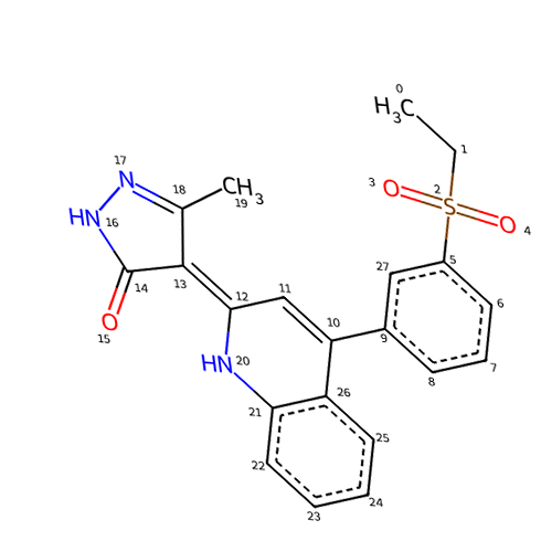 CCS(=O)(=O)c1cccc(C2=CC(=C3C(=O)NN=C3C)Nc3ccccc32)c1